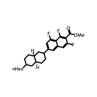 CCCCCCC1CC[C@@H]2CC(c3cc(F)c4c(F)c(C(=O)OC)c(F)cc4c3)CC[C@H]2C1